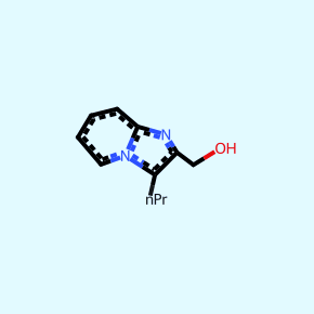 CCCc1c(CO)nc2ccccn12